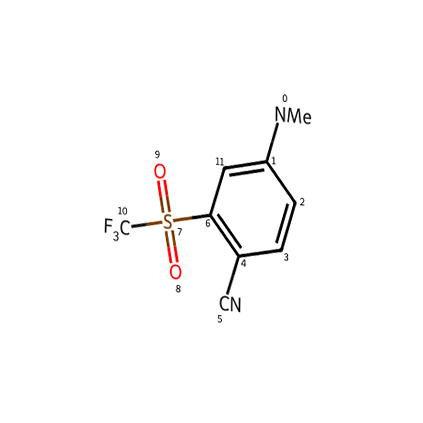 CNc1ccc(C#N)c(S(=O)(=O)C(F)(F)F)c1